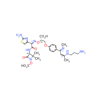 C/N=C(/C=C(/C)NCCCN)c1ccc(OC[C@H](O/N=C(\C(=O)N[C@@H]2C(=O)N(OS(=O)(=O)O)C2(C)C)c2csc(N)n2)C(=O)O)cc1